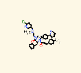 CN(CCN(C)C(=O)[C@H](Cc1ccccc1)N(Cc1ccc(-c2ccccn2)cc1)C(=O)C=Cc1ccc(C(F)(F)F)cc1)Cc1ccc(Cl)nc1